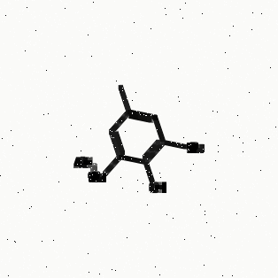 Cc1cc(C(C)(C)C)c(O)c(C(C)(C)C)c1.[AlH3]